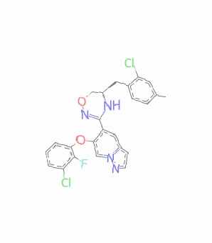 Cc1ccc(C[C@@H]2CON=C(c3cc4ccnn4cc3Oc3cccc(Cl)c3F)N2)c(Cl)c1